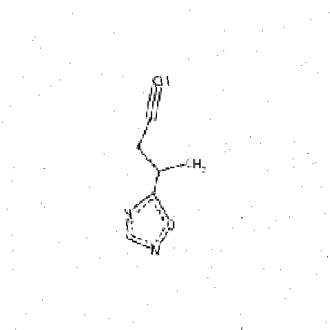 C#CCC(C)c1ncno1